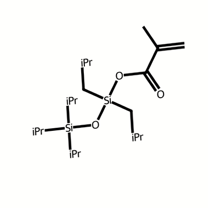 C=C(C)C(=O)O[Si](CC(C)C)(CC(C)C)O[Si](C(C)C)(C(C)C)C(C)C